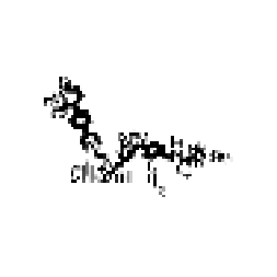 Cc1cc(-c2ncnn3cc(CN(C)CCN4CCC(c5ccc(C6CCC(=O)NC6=O)cc5)CC4)cc23)ccc1CNC(=O)c1noc(C(C)(C)C)n1.O=CO